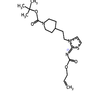 C=CCOC(=O)/N=c1\sccn1CCC1CCN(C(=O)OC(C)(C)C)CC1